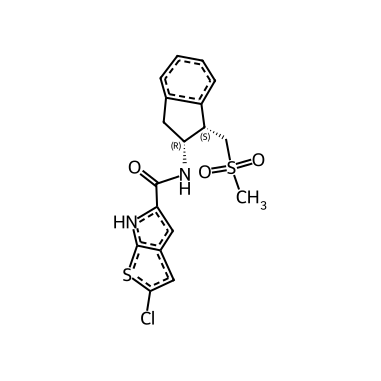 CS(=O)(=O)C[C@H]1c2ccccc2C[C@H]1NC(=O)c1cc2cc(Cl)sc2[nH]1